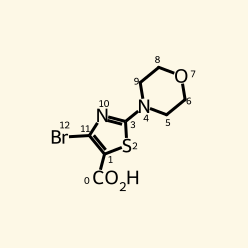 O=C(O)c1sc(N2CCOCC2)nc1Br